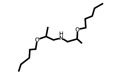 CCCCCOC(C)CNCC(C)OCCCCC